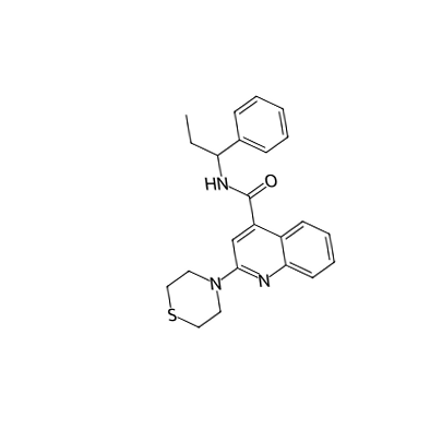 CCC(NC(=O)c1cc(N2CCSCC2)nc2ccccc12)c1ccccc1